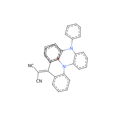 N#CC(C#N)=C1c2ccccc2N(c2ccccc2N(c2ccccc2)c2ccccc2)c2ccccc21